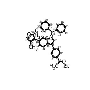 C=C(OCC)c1ccc(-c2cn([C@H](c3ccccc3)c3ccccn3)c3cc(-c4c(C)noc4C)ccc23)cc1